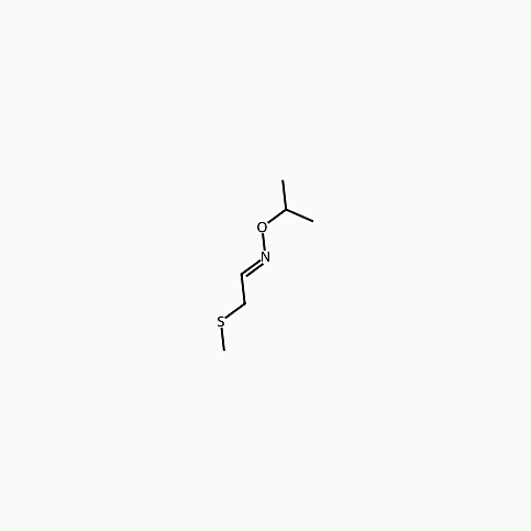 CSC/C=N/OC(C)C